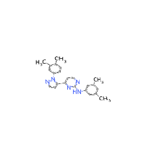 Cc1cc(C)cc(Nc2nccc(-c3ccnn3-c3ccc(C)c(C)c3)n2)c1